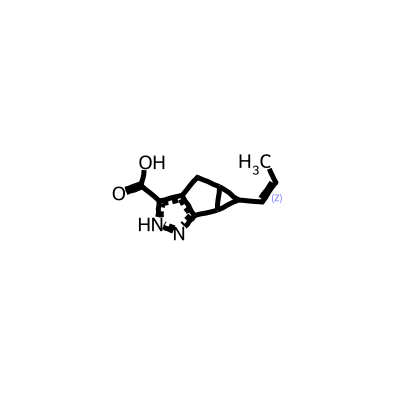 C/C=C\C1C2Cc3c(n[nH]c3C(=O)O)C12